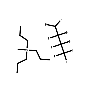 CCC[N+](C)(CCC)CCC.FC(F)C(F)(F)C(F)(F)C(F)(F)F